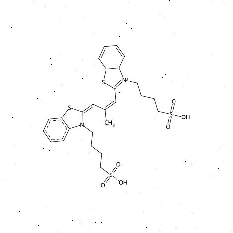 CC(=CC1=[N+](CCCCS(=O)(=O)O)C2C=CC=CC2S1)C=C1Sc2ccccc2N1CCCCS(=O)(=O)O